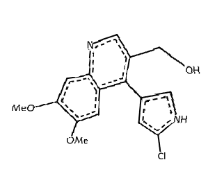 COc1cc2ncc(CO)c(-c3c[nH]c(Cl)c3)c2cc1OC